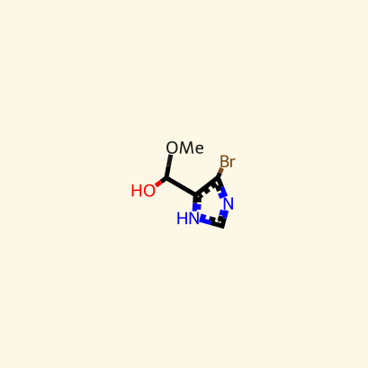 COC(O)c1[nH]cnc1Br